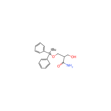 CC(C)(C)[Si](OCC(CO)C(N)=O)(c1ccccc1)c1ccccc1